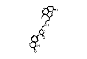 O=C1CSc2ccc(N3C[C@@H](CNCCC4Cn5c(=O)ccc6ncc(F)c4c65)OC3=O)cc2N1